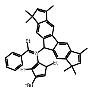 CCC1=[C]([Zr](=[C](CC)c2ccccc2)[CH]2c3cc4c(cc3-c3cc5c(cc32)C(C)(C)C=C5C)C(C)=CC4(C)C)C(CC)C=C1C(C)(C)C